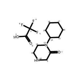 O=C(O)C(F)(F)F.O=C1CNCCN1C1CCCCC1